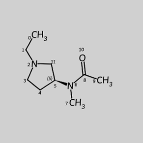 CCN1CC[C@H](N(C)C(C)=O)C1